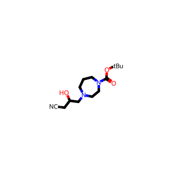 CC(C)(C)OC(=O)N1CCCN(CC(O)CC#N)CC1